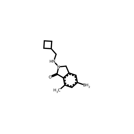 Bc1cc(C)c2c(c1)CN(NCC1CCC1)C2=O